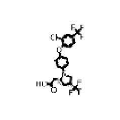 O=C(O)C[C@@H]1C[C@H](C(F)(F)F)CN1c1ccc(Oc2ccc(C(F)(F)F)cc2Cl)cc1